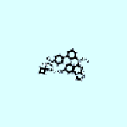 CN(c1cccc(-c2ccc(S(=O)(=O)NC3(C)CCC3)cc2)c1)c1nc2nncn2c2cc(Cl)ccc12